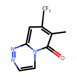 Cc1c(C(F)(F)F)cc2nnccn2c1=O